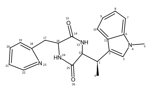 C[C@H](c1cn(C)c2ccccc12)C1NC(=O)C(Cc2ccccn2)NC1=O